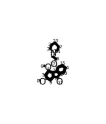 COc1cc(OC)c2c(c1)C(=O)c1cccc(OCCN3CCCCC3)c1-2